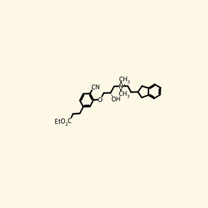 CCOC(=O)CCc1ccc(C#N)c(OC[C@@H](O)C[N+](C)(C)CCC2Cc3ccccc3C2)c1